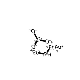 CCPCC.[Au+].[O-][I+2]([O-])[O-]